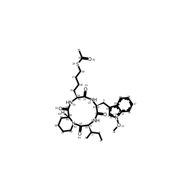 CCC(C)[C@@H]1NC(=O)[C@H](Cc2cn(OC)c3ccccc23)NC(=O)[C@H](CCCCSC(C)=O)NC(=O)[C@H]2CCCCN2C1=O